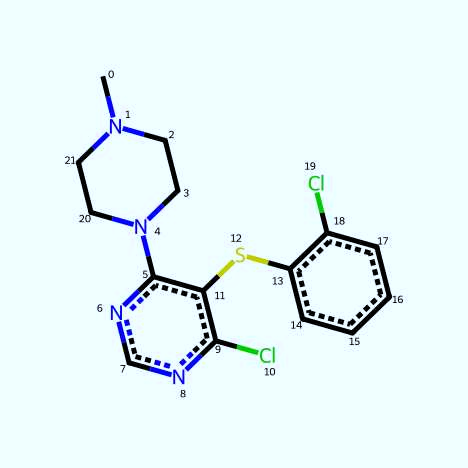 CN1CCN(c2ncnc(Cl)c2Sc2ccccc2Cl)CC1